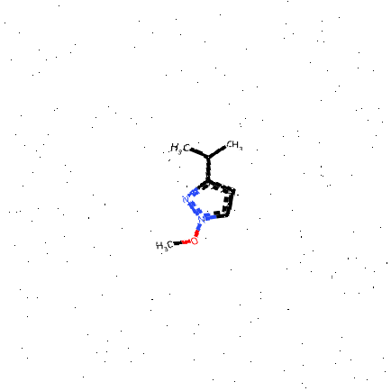 COn1ccc(C(C)C)n1